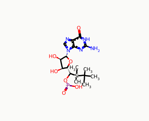 CC(C)(C)[Si](C)(C)C(O[P](=O)O)[C@H]1O[C@@H](n2cnc3c(=O)[nH]c(N)nc32)[C@H](O)[C@@H]1O